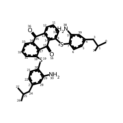 CC(C)Cc1ccc(Sc2cccc3c2C(=O)c2c(Sc4ccc(CC(C)C)cc4N)cccc2C3=O)c(N)c1